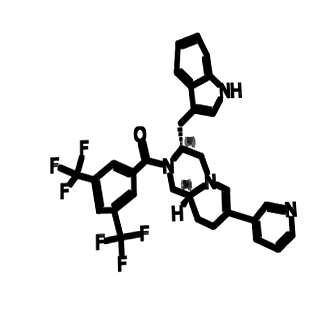 O=C(c1cc(C(F)(F)F)cc(C(F)(F)F)c1)N1C[C@H]2CCC(c3cccnc3)=CN2C[C@H]1Cc1c[nH]c2ccccc12